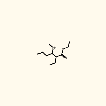 CCOC(=O)C(CC)C(CCI)NI